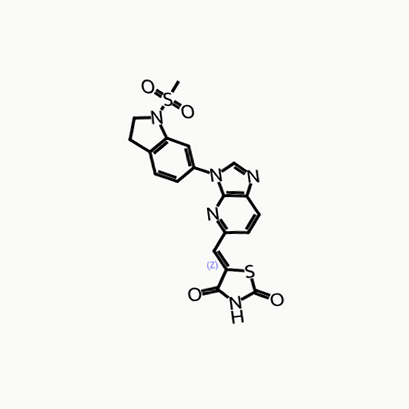 CS(=O)(=O)N1CCc2ccc(-n3cnc4ccc(/C=C5\SC(=O)NC5=O)nc43)cc21